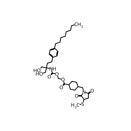 CCCCCCCCc1ccc(CCC(CO)(CO)NC(=O)OCOC(=O)C2CCC(CN3C(=O)CC(SC)C3=O)CC2)cc1